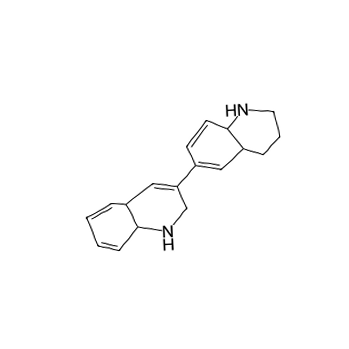 C1=CC2C=C(C3=CC4CCCNC4C=C3)CNC2C=C1